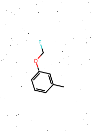 Cc1cccc(OCF)c1